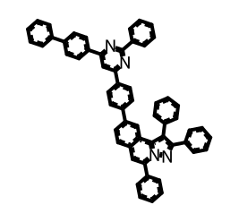 c1ccc(-c2ccc(-c3cc(-c4ccc(-c5ccc6cc(-c7ccccc7)n7nc(-c8ccccc8)c(-c8ccccc8)c7c6c5)cc4)nc(-c4ccccc4)n3)cc2)cc1